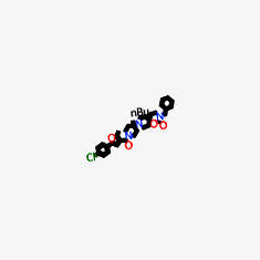 CCCCC1CN(CC2CCCCC2)C(=O)OC12CCN(C1(C)CCN(C(=O)c3cc(-c4ccc(Cl)cc4)oc3C)CC1)CC2